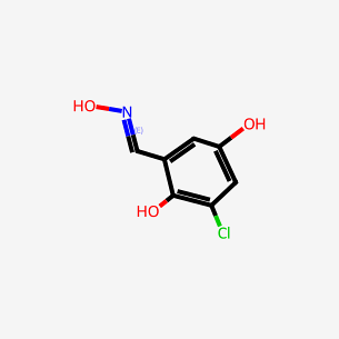 O/N=C/c1cc(O)cc(Cl)c1O